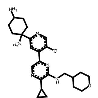 NC1CCC(N)(c2cc(-c3cnc(C4CC4)c(NCC4CCOCC4)n3)c(Cl)cn2)CC1